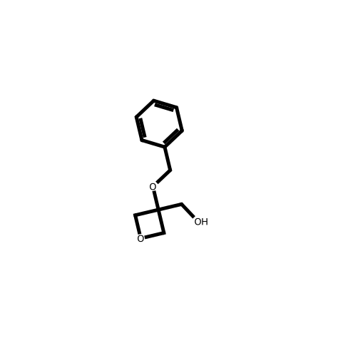 OCC1(OCc2ccccc2)COC1